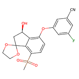 CS(=O)(=O)c1ccc(Oc2cc(F)cc(C#N)c2)c2c1C1(C[C@H]2O)OCCO1